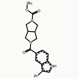 CC(C)c1c[nH]c2ccc(C(=O)N3CC4CN(C(=O)OC(C)(C)C)CC4C3)cc12